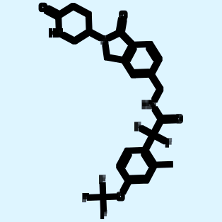 Cc1cc(OC(F)(F)F)ccc1C(F)(F)C(=O)NCc1ccc2c(c1)CN(C1CCC(=O)NC1)C2=O